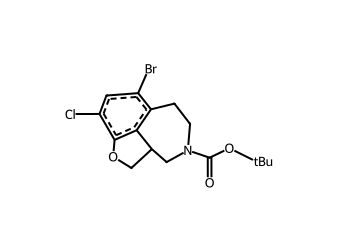 CC(C)(C)OC(=O)N1CCc2c(Br)cc(Cl)c3c2C(CO3)C1